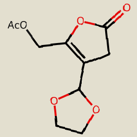 CC(=O)OCC1=C(C2OCCO2)CC(=O)O1